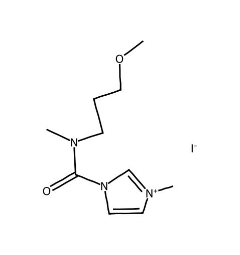 COCCCN(C)C(=O)n1cc[n+](C)c1.[I-]